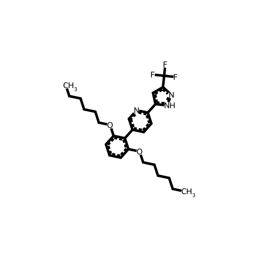 CCCCCCOc1cccc(OCCCCCC)c1-c1ccc(-c2cc(C(F)(F)F)n[nH]2)nc1